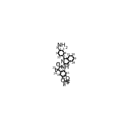 NCc1ccc(-c2nc(NC(=O)C3(c4ccc5c(c4)OC(F)(F)O5)CC3)cc3ccccc23)cc1